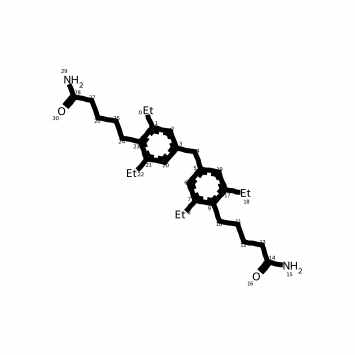 CCc1cc(Cc2cc(CC)c(CCCCC(N)=O)c(CC)c2)cc(CC)c1CCCCC(N)=O